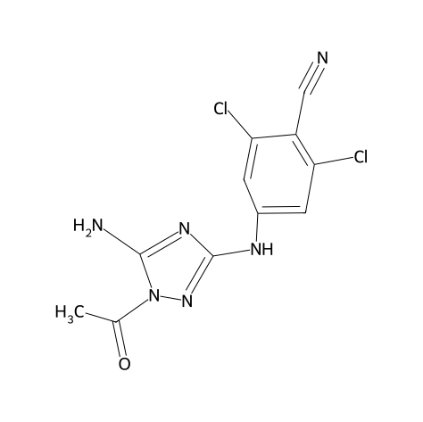 CC(=O)n1nc(Nc2cc(Cl)c(C#N)c(Cl)c2)nc1N